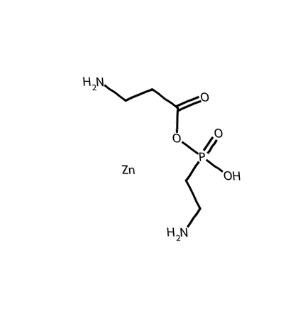 NCCC(=O)OP(=O)(O)CCN.[Zn]